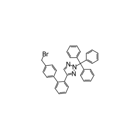 BrCc1ccc(-c2ccccc2-c2cnn(C(c3ccccc3)(c3ccccc3)c3ccccc3)n2)cc1